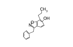 CCCc1c(O)ccc2c(Cc3ccccc3)noc12